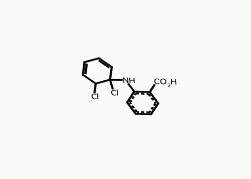 O=C(O)c1ccccc1NC1(Cl)C=CC=CC1Cl